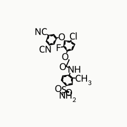 Cc1cc(S(N)(=O)=O)ccc1NC(=O)COc1ccc(Cl)c(Oc2cc(C#N)cc(C#N)c2)c1F